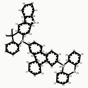 CC1(C)c2ccccc2N(c2ccc3c4ccc(N5c6ccccc6Sc6ccccc65)cc4c4ccccc4c3c2)c2cc3sc4ccccc4c3cc21